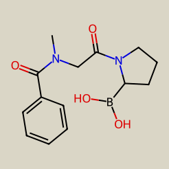 CN(CC(=O)N1CCCC1B(O)O)C(=O)c1ccccc1